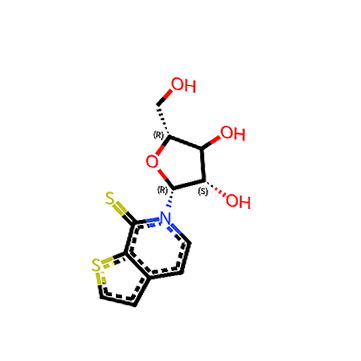 OC[C@H]1O[C@@H](n2ccc3ccsc3c2=S)[C@@H](O)C1O